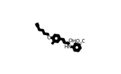 C#CCCCCOc1ccc(/C=C/C(=O)Nc2ccccc2C(=O)O)cc1C